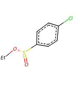 CCO[S@@](=O)c1ccc(Cl)cc1